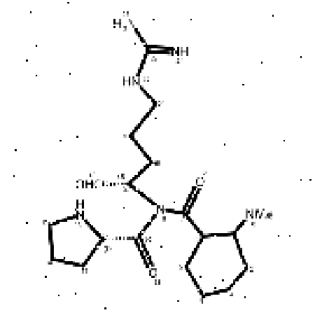 CNC1CCCCC1C(=O)N(C(=O)[C@@H]1CCCN1)[C@H](C=O)CCCNC(=N)N